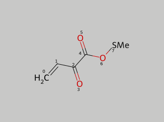 C=CC(=O)C(=O)OSC